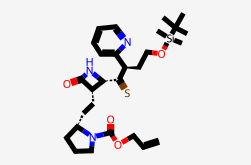 C=CCOC(=O)N1CCC[C@@H]1CC[C@@H]1C(=O)N[C@@H]1C(=S)[C@H](CCO[Si](C)(C)C(C)(C)C)c1ccccn1